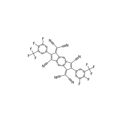 N#CC(C#N)=C1C(c2cc(F)c(F)c(C(F)(F)F)c2)=C(C#N)c2cc3c(cc21)C(C#N)=C(c1cc(F)c(F)c(C(F)(F)F)c1)C3=C(C#N)C#N